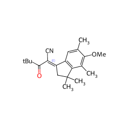 COc1c(C)cc2c(c1C)C(C)(C)C/C2=C(/C#N)C(=O)C(C)(C)C